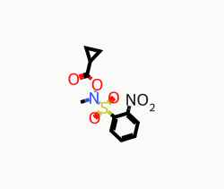 CN(OC(=O)C1CC1)S(=O)(=O)c1ccccc1[N+](=O)[O-]